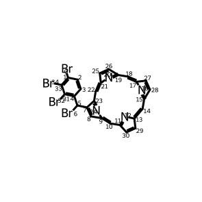 Brc1ccc(C(Br)C2=CC3=CC4=NC(=CC5=NC(=CC6=NC(=CC2=N3)C=C6)C=C5)C=C4)c(Br)c1Br